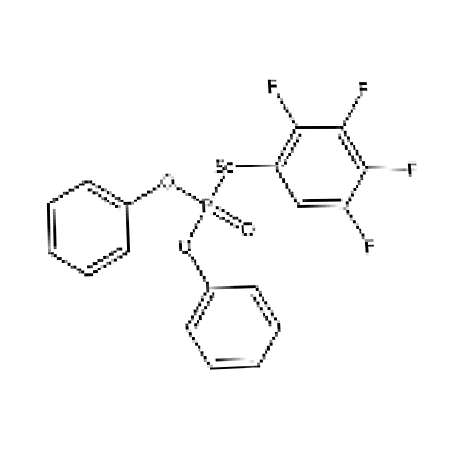 O=P(Oc1ccccc1)(Oc1ccccc1)[Se]c1cc(F)c(F)c(F)c1F